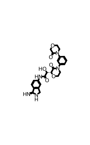 N=C1NCc2cc(NC(=O)C(O)[C@H]3OCCN(c4cccc(N5CCOCC5=O)c4)C3=O)ccc21